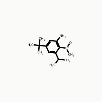 CC(C)c1cc(C(C)(C)C)cc(N)c1[S+](C)[O-]